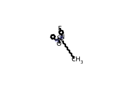 CCCCCCCCCCCCN1C(=O)/C(=C/c2ccccc2)S/C1=N\c1ccc(F)cc1